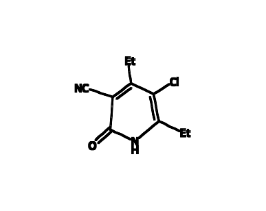 CCc1[nH]c(=O)c(C#N)c(CC)c1Cl